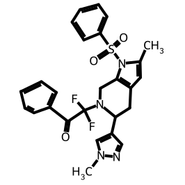 Cc1cc2c(n1S(=O)(=O)c1ccccc1)CN(C(F)(F)C(=O)c1ccccc1)C(c1cnn(C)c1)C2